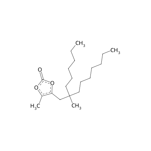 CCCCCCCC(C)(CCCCCC)Cc1oc(=O)oc1C